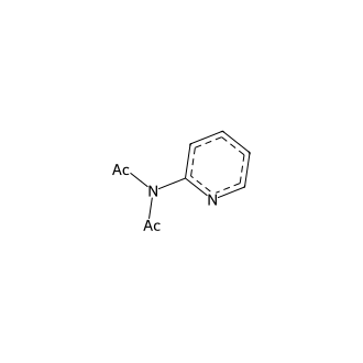 CC(=O)N(C(C)=O)c1ccccn1